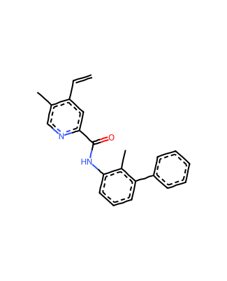 C=Cc1cc(C(=O)Nc2cccc(-c3ccccc3)c2C)ncc1C